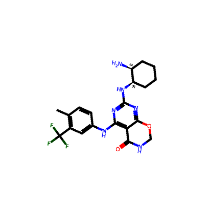 Cc1ccc(Nc2nc(N[C@@H]3CCCC[C@@H]3N)nc3c2C(=O)NCO3)cc1C(F)(F)F